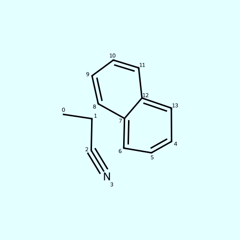 CCC#N.c1ccc2ccccc2c1